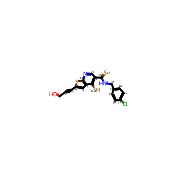 OCC#Cc1cc2c(S)c(C(=S)NCc3ccc(Cl)cc3)cnc2s1